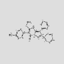 NCc1[nH]c2c(-c3ccccc3)c(-c3ccccc3)nn2c(=O)c1-c1ccc(O)cc1